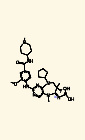 COc1cc(C(=O)NC2CCN(C)CC2)ccc1Nc1ncc2c(n1)N(C1CCCC1)CC(C)(F)/C(=N\N(O)O)N2C